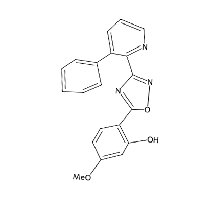 COc1ccc(-c2nc(-c3ncccc3-c3ccccc3)no2)c(O)c1